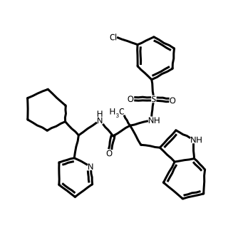 CC(Cc1c[nH]c2ccccc12)(NS(=O)(=O)c1cccc(Cl)c1)C(=O)NC(c1ccccn1)C1CCCCC1